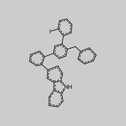 Ic1ccccc1-c1cc(-c2ccccc2-c2ccc3[nH]c4ccccc4c3c2)ccc1Cc1ccccc1